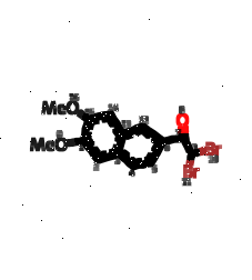 COc1cc2ccc(C(=O)C(Br)Br)cc2cc1OC